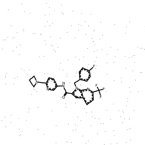 O=C(Nc1ccc(N2CCC2)nc1)c1cc2ccc(C(F)(F)F)nc2n1Cc1ccc(F)cc1